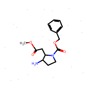 COC(=O)CC1C(N)CCN1C(=O)OCc1ccccc1